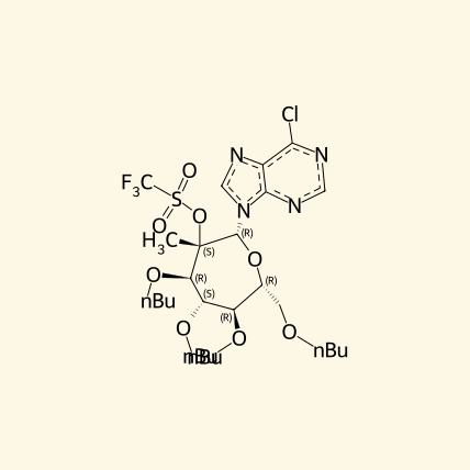 CCCCOC[C@H]1O[C@@H](n2cnc3c(Cl)ncnc32)[C@@](C)(OS(=O)(=O)C(F)(F)F)[C@H](OCCCC)[C@@H](OCCCC)[C@@H]1OCCCC